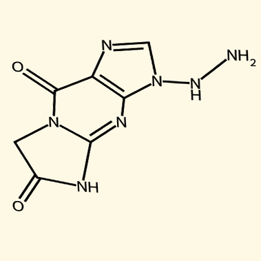 NNn1cnc2c(=O)n3c(nc21)NC(=O)C3